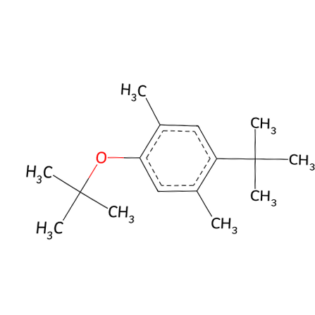 Cc1cc(C(C)(C)C)c(C)cc1OC(C)(C)C